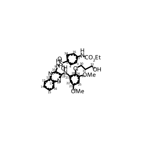 CCOC(=O)Nc1ccc(S(=O)(=O)Nc2nc3ccccc3nc2Nc2cc(OC)cc(OC)c2OCCCO)cc1